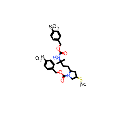 CC(=O)SC1CC(CCC(C)(C)NC(=O)OCc2ccc([N+](=O)[O-])cc2)N(C(=O)OCc2ccc([N+](=O)[O-])cc2)C1